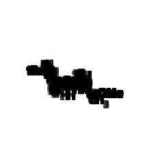 COCCN(C)CCNC(=O)c1cc(NC(=O)N[C@H]2CC[C@@H](Oc3ccc4nnc(C(C)(C)C)n4c3)c3ccccc32)cc(C(C)(C)C)n1